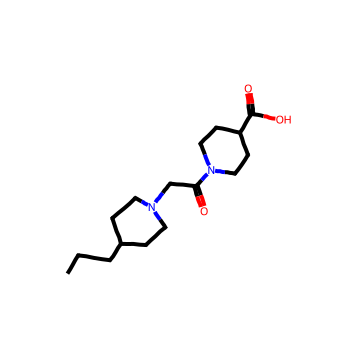 CCCC1CCN(CC(=O)N2CCC(C(=O)O)CC2)CC1